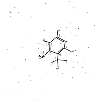 Cc1cc(C)c(C(C)(C)C)c([Se])c1C